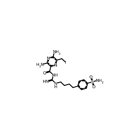 N=C(NCCCCc1ccc(S(N)(=O)=O)cc1)NC(=O)c1nc(CI)c(N)nc1N